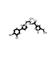 C[C@@H](Cn1ccc(-c2ccc(C#N)c(Cl)c2)n1)NC(=O)c1cc(CO)[nH]n1